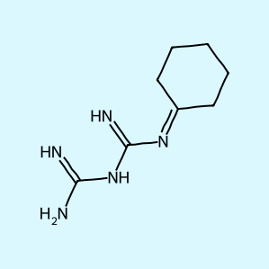 N=C(N)NC(=N)N=C1CCCCC1